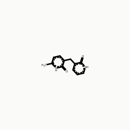 Cc1ccc(Cc2ccc[nH]c2=O)c(=O)[nH]1